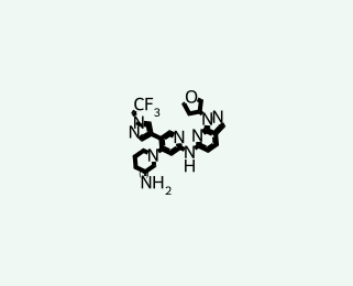 N[C@H]1CCCN(c2cc(Nc3ccc4cnn(C5CCOC5)c4n3)ncc2-c2cnn(CC(F)(F)F)c2)C1